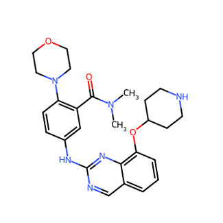 CN(C)C(=O)c1cc(Nc2ncc3cccc(OC4CCNCC4)c3n2)ccc1N1CCOCC1